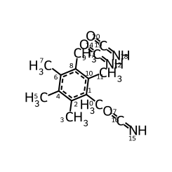 Cc1c(C)c(C)c(C)c(C)c1C.N=C=O.N=C=O.N=C=O